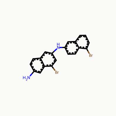 Nc1ccc2cc(Nc3ccc4c(Br)cccc4c3)cc(Br)c2c1